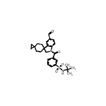 CC(C)(C)NS(=O)(=O)c1cccc(C(=O)N2CC3(CCC4(CC4)CC3)c3cc(C=O)ccc32)c1